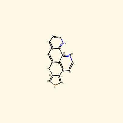 c1cnc2c(c1)cc1c3c(ccnc32)-c2cscc2C1